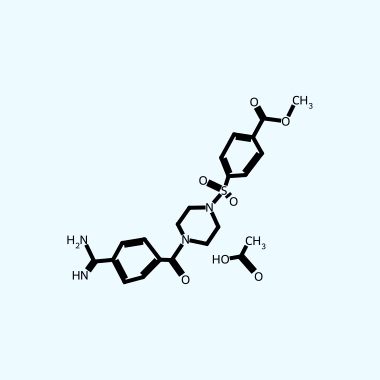 CC(=O)O.COC(=O)c1ccc(S(=O)(=O)N2CCN(C(=O)c3ccc(C(=N)N)cc3)CC2)cc1